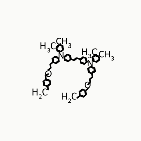 C=Cc1ccc(COCCCc2ccc(N(c3ccc(/C=C/c4ccc(N(c5ccc(CCCOCc6ccc(C=C)cc6)cc5)c5ccc(C)c(C)c5)cc4)cc3)c3ccc(C)c(C)c3)cc2)cc1